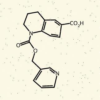 O=C(O)c1ccc2c(c1)CCCN2C(=O)OCc1cccnc1